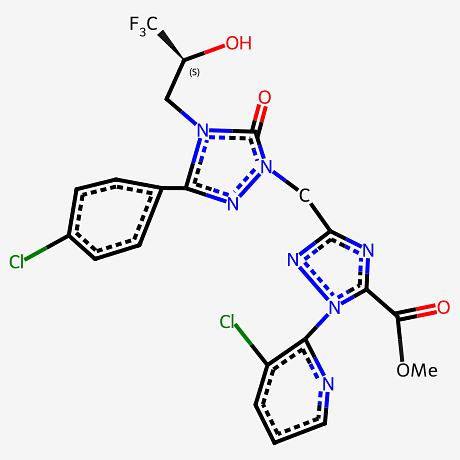 COC(=O)c1nc(Cn2nc(-c3ccc(Cl)cc3)n(C[C@H](O)C(F)(F)F)c2=O)nn1-c1ncccc1Cl